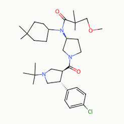 COCC(C)(C)C(=O)N(C1CCC(C)(C)CC1)[C@H]1CCN(C(=O)[C@@H]2CN(C(C)(C)C)C[C@H]2c2ccc(Cl)cc2)C1